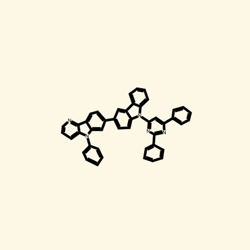 c1ccc(-c2cc(-n3c4ccccc4c4cc(-c5ccc6c7ncccc7n(-c7ccccc7)c6c5)ccc43)nc(-c3ccccc3)n2)cc1